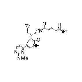 CNc1nccc(-c2c[nH]c(=O)c(N(CC3CC3)C3CN(C(=O)C=CCNC(C)C)C3)c2)n1